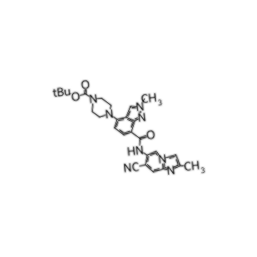 Cc1cn2cc(NC(=O)c3ccc(N4CCN(C(=O)OC(C)(C)C)CC4)c4cn(C)nc34)c(C#N)cc2n1